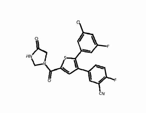 N#Cc1cc(-c2cc(C(=O)N3CNC(=O)C3)sc2-c2cc(F)cc(Cl)c2)ccc1F